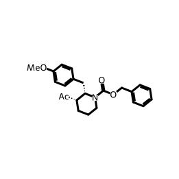 COc1ccc(C[C@H]2[C@@H](C(C)=O)CCCN2C(=O)OCc2ccccc2)cc1